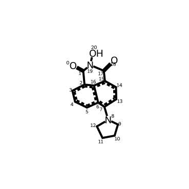 O=C1c2cccc3c(N4CCCC4)ccc(c23)C(=O)N1O